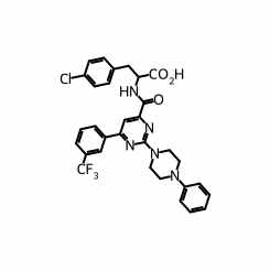 O=C(NC(Cc1ccc(Cl)cc1)C(=O)O)c1cc(-c2cccc(C(F)(F)F)c2)nc(N2CCN(c3ccccc3)CC2)n1